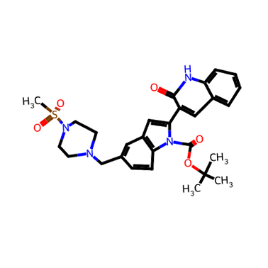 CC(C)(C)OC(=O)n1c(-c2cc3ccccc3[nH]c2=O)cc2cc(CN3CCN(S(C)(=O)=O)CC3)ccc21